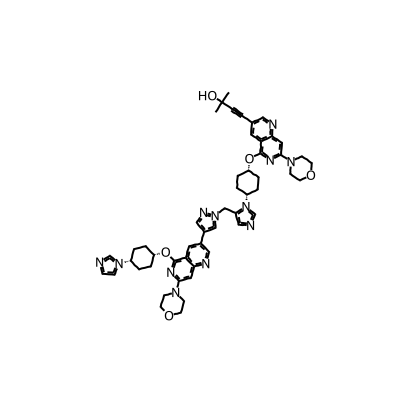 CC(C)(O)C#Cc1cnc2cc(N3CCOCC3)nc(O[C@H]3CC[C@@H](n4cncc4Cn4cc(-c5cnc6cc(N7CCOCC7)nc(O[C@H]7CC[C@@H](n8ccnc8)CC7)c6c5)cn4)CC3)c2c1